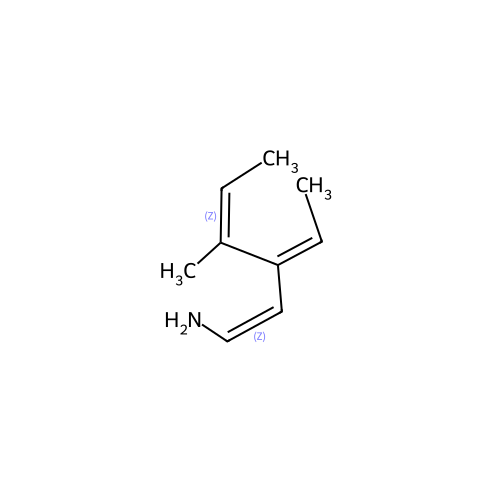 CC=C(/C=C\N)/C(C)=C\C